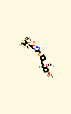 COc1ccc(C(=O)/C=C/c2cccc(OCc3cn(CC(O)COC4=C(C)C(=O)SC4C)nn3)c2)c(OC)c1